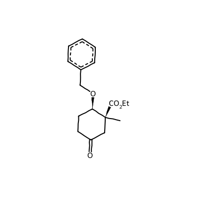 CCOC(=O)[C@@]1(C)CC(=O)CC[C@H]1OCc1ccccc1